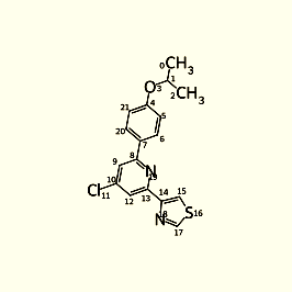 CC(C)Oc1ccc(-c2cc(Cl)cc(-c3cscn3)n2)cc1